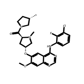 COc1cc2ncnc(Nc3cccc(Cl)c3F)c2cc1O[C@@H]1C[C@@H](C(=O)N2CC[C@H](C)C2)N(C)C1